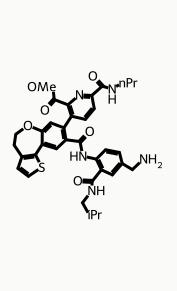 CCCNC(=O)c1ccc(-c2cc3c(cc2C(=O)Nc2ccc(CN)cc2C(=O)NCC(C)C)-c2sccc2CCO3)c(C(=O)OC)n1